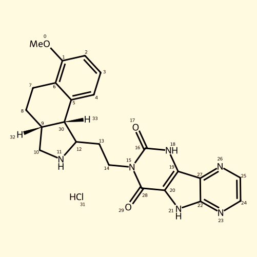 COc1cccc2c1CC[C@H]1CNC(CCn3c(=O)[nH]c4c([nH]c5nccnc54)c3=O)[C@@H]21.Cl